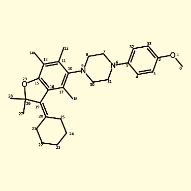 COc1ccc(N2CCN(c3c(C)c(C)c4c(c3C)C(=C3CCCCC3)C(C)(C)O4)CC2)cc1